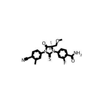 COC[C@]1(C)C(=O)N(c2ccc(C#N)c(C)c2)C(=S)N1c1ccc(C(N)=O)c(F)c1